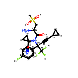 CS(=O)(=O)C[C@H](N)C(=O)N(C1(C#N)CC1)[C@@](C#CC1CC1)(c1ccc(F)cc1)C(F)(F)F